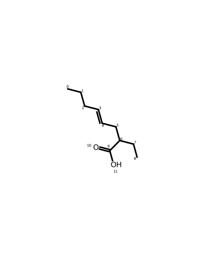 CCCC=CCC(CC)C(=O)O